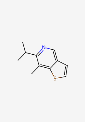 Cc1c(C(C)C)ncc2ccsc12